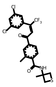 Cc1cc(C(=O)/C=C(\c2cc(Cl)cc(Cl)c2)C(F)(F)F)ccc1C(=O)NC1(C)CSC1